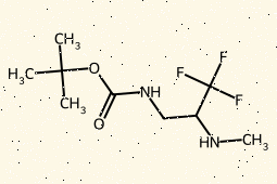 CNC(CNC(=O)OC(C)(C)C)C(F)(F)F